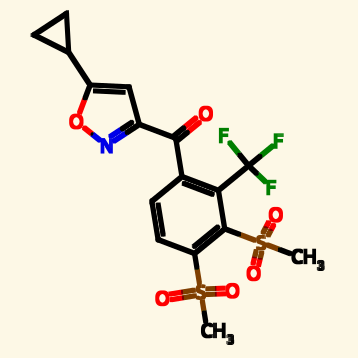 CS(=O)(=O)c1ccc(C(=O)c2cc(C3CC3)on2)c(C(F)(F)F)c1S(C)(=O)=O